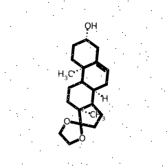 C[C@]12CC[C@H](O)CC1=CC[C@@H]1C2CC[C@@]2(C)C1CCC21OCCO1